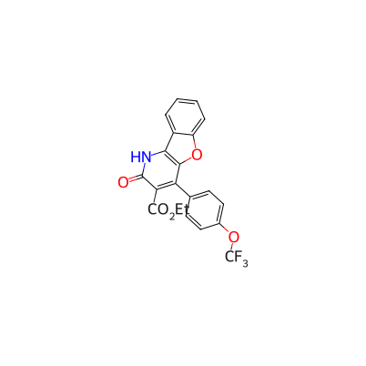 CCOC(=O)c1c(-c2ccc(OC(F)(F)F)cc2)c2oc3ccccc3c2[nH]c1=O